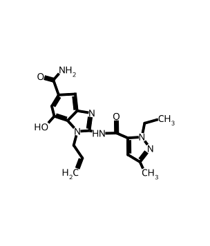 C=CCn1c(NC(=O)c2cc(C)nn2CC)nc2cc(C(N)=O)cc(O)c21